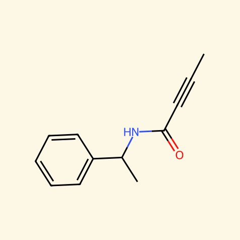 CC#CC(=O)NC(C)c1ccccc1